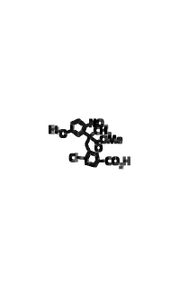 CCOc1ccc([N+](=O)[O-])c(C(C)(Cc2cc(C(=O)O)ccc2Cl)C(=O)OC)c1